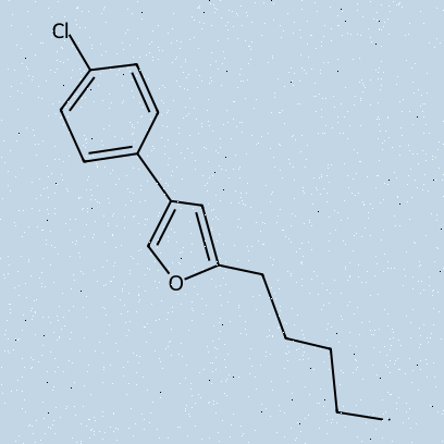 [CH2]CCCCc1cc(-c2ccc(Cl)cc2)co1